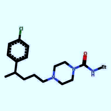 CCNC(=O)N1CCN(CCCC(C)c2ccc(Cl)cc2)CC1